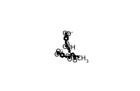 CCC1C(=O)N2C(C(=O)OCc3ccc([N+](=O)[O-])cc3)=C(SCCNC(=O)OCc3ccc([N+](=O)[O-])cc3)CC12